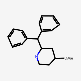 COC1CC[N]C(C(c2ccccc2)c2ccccc2)C1